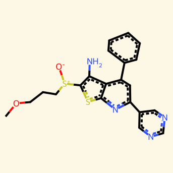 COCCC[S+]([O-])c1sc2nc(-c3cncnc3)cc(-c3ccccc3)c2c1N